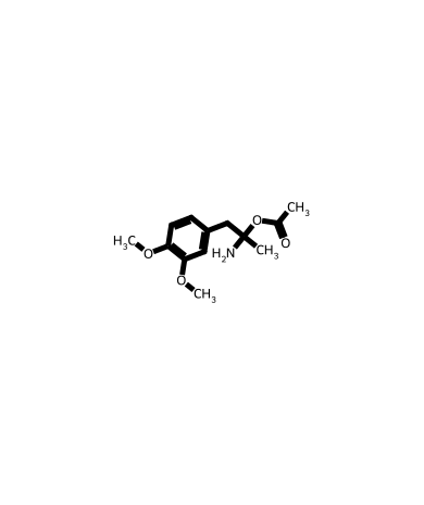 COc1ccc(CC(C)(N)OC(C)=O)cc1OC